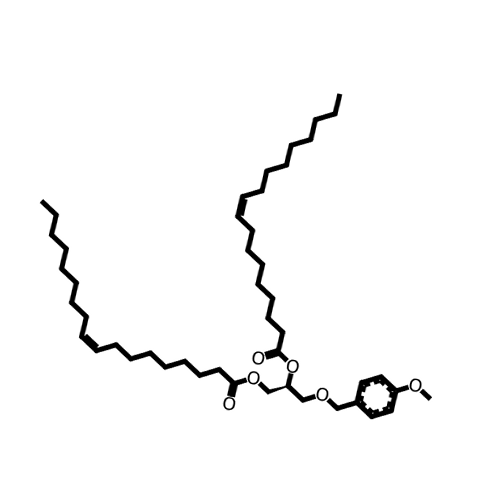 CCCCCCCC/C=C\CCCCCCCC(=O)OC[C@H](COCc1ccc(OC)cc1)OC(=O)CCCCCCC/C=C\CCCCCCCC